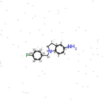 Nc1ccc2c(c1)CCN2Cc1ccc(F)cc1